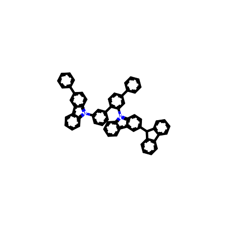 c1ccc(-c2ccc(-c3cccc(-n4c5ccccc5c5cc(-c6ccccc6)ccc54)c3)c(-n3c4ccccc4c4cc(C5c6ccccc6-c6ccccc65)ccc43)c2)cc1